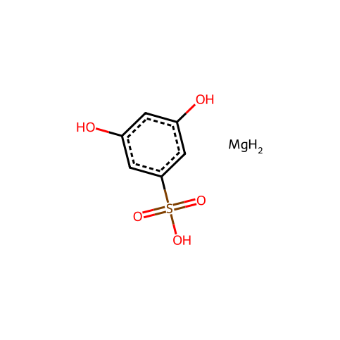 O=S(=O)(O)c1cc(O)cc(O)c1.[MgH2]